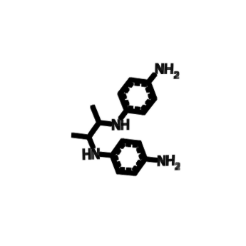 CC(Nc1ccc(N)cc1)C(C)Nc1ccc(N)cc1